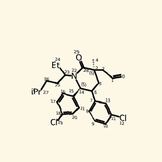 C=CC[C@@]1(C)CC(c2cccc(Cl)c2)[C@@H](c2ccc(Cl)cc2)N(C(CC)CCC(C)C)C1=O